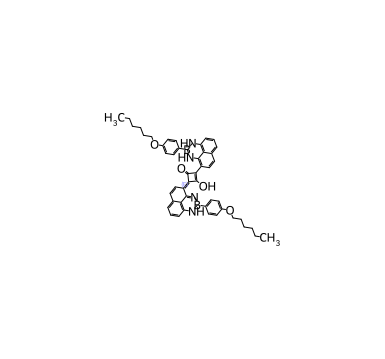 CCCCCCOc1ccc(B2N=c3/c(=C4/C(=O)C(c5ccc6cccc7c6c5NB(c5ccc(OCCCCCC)cc5)N7)=C4O)ccc4cccc(c34)N2)cc1